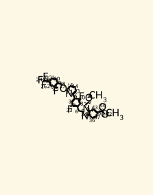 COCCn1c(Cc2cc(F)c(-c3cccc(OCc4ccc(C(F)(F)F)cc4F)n3)cc2F)nc2ccc(C(=O)OC)cc21